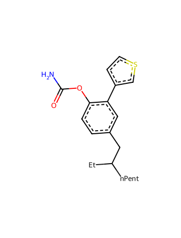 CCCCCC(CC)Cc1ccc(OC(N)=O)c(-c2ccsc2)c1